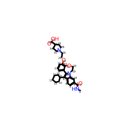 CNC(=O)c1ccc2c(C3CCCCC3)c3n(c2c1)CCOc1c(OCCN2CCC(C(=O)O)CC2)cccc1-3